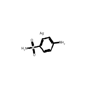 Nc1ccc(S(N)(=O)=O)cc1.[Ag]